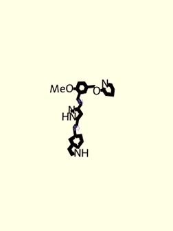 COc1ccc(COc2ccccn2)cc1/C=C/c1cc(/C=C/c2ccc3[nH]ccc3c2)[nH]n1